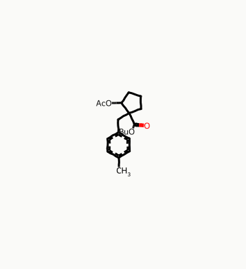 CC(=O)OC1CCCC1(Cc1ccc(C)cc1)C(=O)OCC(C)C